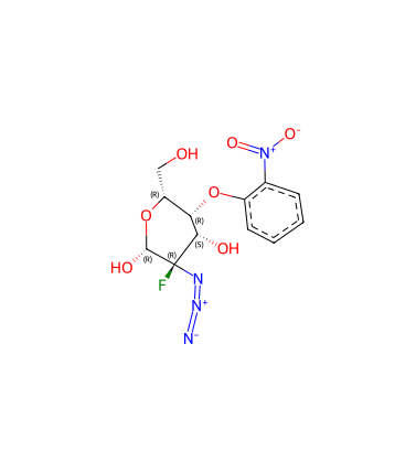 [N-]=[N+]=N[C@]1(F)[C@H](O)O[C@H](CO)[C@H](Oc2ccccc2[N+](=O)[O-])[C@@H]1O